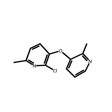 Cc1ccc(Oc2cccnc2C)c(Cl)n1